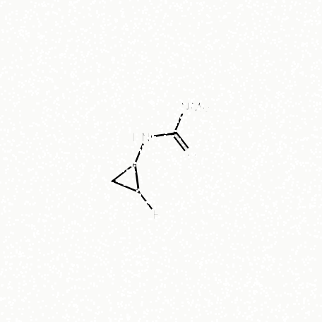 CNC(=O)NC1CC1F